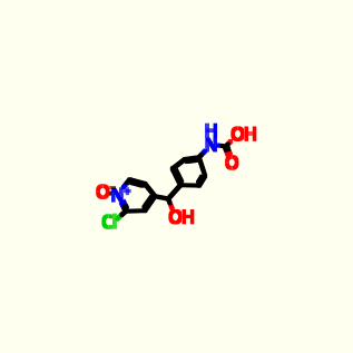 O=C(O)Nc1ccc(C(O)c2cc[n+]([O-])c(Cl)c2)cc1